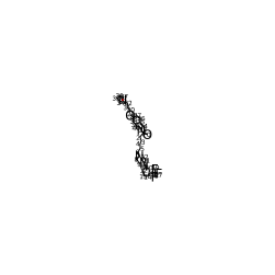 O=C(CCCCCN1CCN(c2cccc(C(F)(F)F)c2)CC1)n1cc2ccc(OCCCN3CCCC3)cc2c1